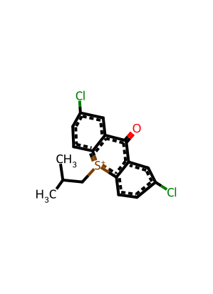 CC(C)C[s+]1c2ccc(Cl)cc2c(=O)c2cc(Cl)ccc21